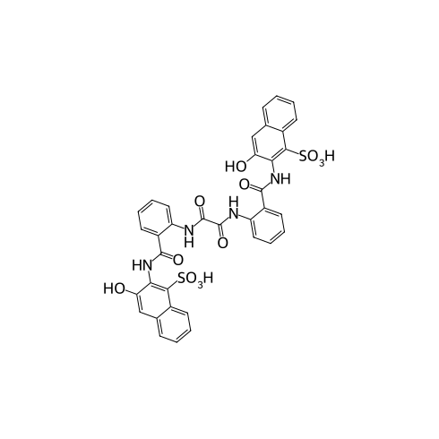 O=C(Nc1ccccc1C(=O)Nc1c(O)cc2ccccc2c1S(=O)(=O)O)C(=O)Nc1ccccc1C(=O)Nc1c(O)cc2ccccc2c1S(=O)(=O)O